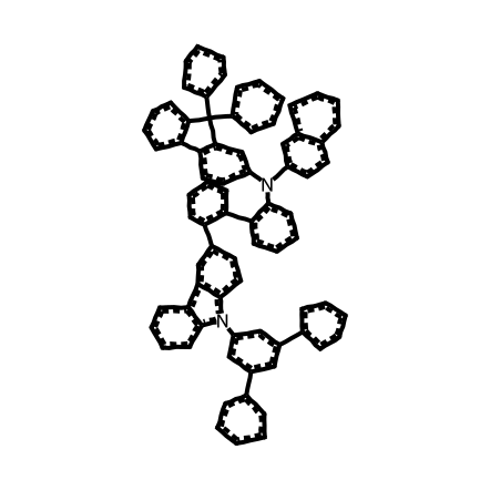 c1ccc(-c2cc(-c3ccccc3)cc(-n3c4ccccc4c4cc(-c5ccccc5-c5ccccc5N(c5ccc6c(c5)C(c5ccccc5)(c5ccccc5)c5ccccc5-6)c5ccc6ccccc6c5)ccc43)c2)cc1